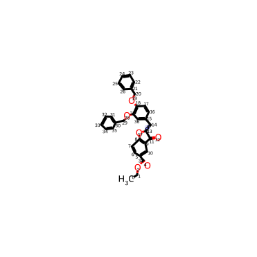 CCOC(=O)c1ccc2c(c1)C(=O)/C(=C/c1ccc(OCc3ccccc3)c(OCc3ccccc3)c1)O2